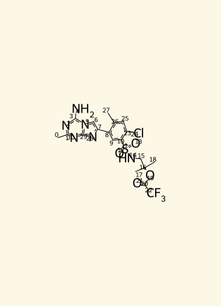 Cc1nc(N)n2cc(-c3cc(S(=O)(=O)NCC(C)(C)OC(=O)C(F)(F)F)c(Cl)cc3C)nc2n1